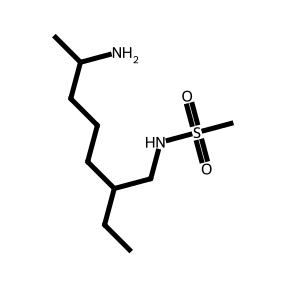 CCC(CCCC(C)N)CNS(C)(=O)=O